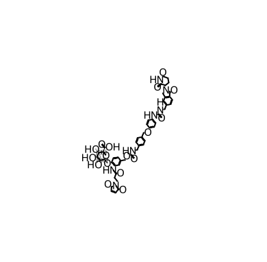 O=C1CCC(N2Cc3cc(CNC(=O)Nc4ccc(OCc5ccc(CNC(=O)OCc6ccc(O[C@@H]7O[C@H](C(=O)O)[C@@H](O)[C@H](O)[C@H]7O)c(NC(=O)CCN7C(=O)C=CC7=O)c6)cc5)cc4)ccc3C2=O)C(=O)N1